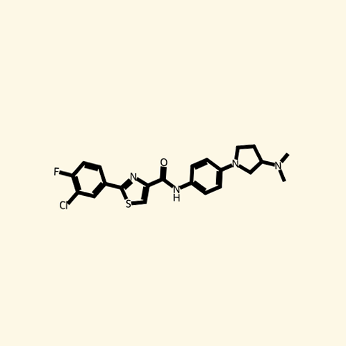 CN(C)C1CCN(c2ccc(NC(=O)c3csc(-c4ccc(F)c(Cl)c4)n3)cc2)C1